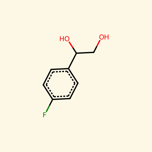 OCC(O)c1ccc(F)cc1